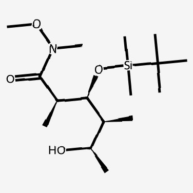 CON(C)C(=O)[C@H](C)[C@@H](O[Si](C)(C)C(C)(C)C)[C@@H](C)[C@@H](C)O